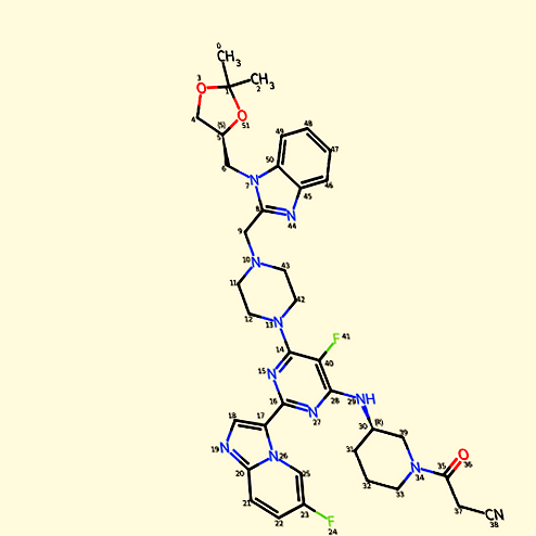 CC1(C)OC[C@H](Cn2c(CN3CCN(c4nc(-c5cnc6ccc(F)cn56)nc(N[C@@H]5CCCN(C(=O)CC#N)C5)c4F)CC3)nc3ccccc32)O1